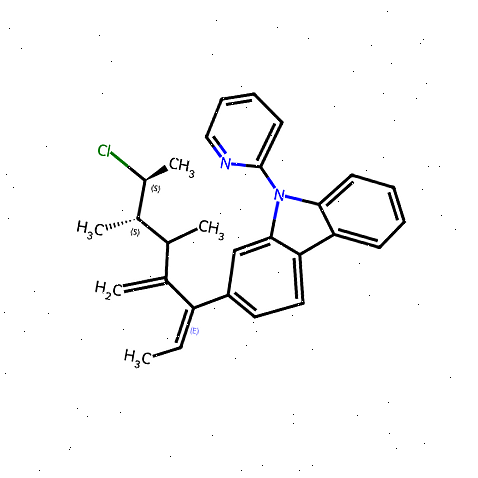 C=C(/C(=C\C)c1ccc2c3ccccc3n(-c3ccccn3)c2c1)C(C)[C@H](C)[C@H](C)Cl